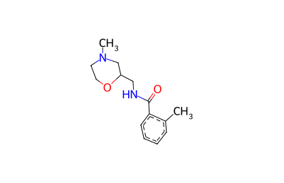 Cc1ccccc1C(=O)NCC1CN(C)CCO1